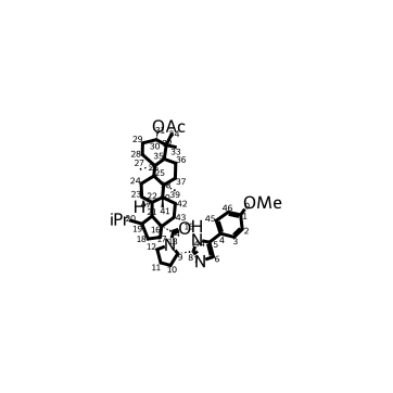 COc1ccc(-c2cnc([C@@H]3CCCN3C(=O)[C@]34CCC(C(C)C)C3[C@H]3CCC5[C@@]6(C)CC[C@H](OC(C)=O)C(C)(C)C6CC[C@@]5(C)[C@]3(C)CC4)[nH]2)cc1